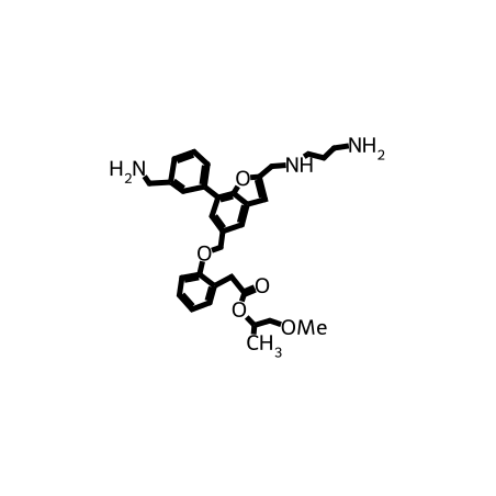 COCC(C)OC(=O)Cc1ccccc1OCc1cc(-c2cccc(CN)c2)c2oc(CNCCCN)cc2c1